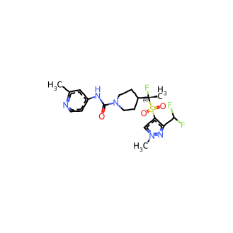 Cc1cc(NC(=O)N2CCC([C@](C)(F)S(=O)(=O)c3cn(C)nc3C(F)F)CC2)ccn1